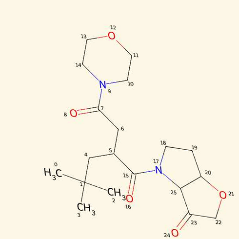 CC(C)(C)CC(CC(=O)N1CCOCC1)C(=O)N1CCC2OCC(=O)C21